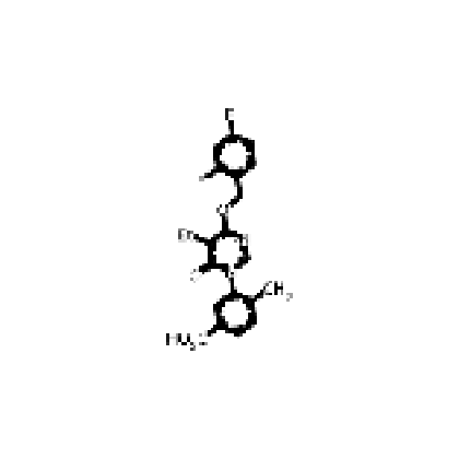 CCc1c(OCc2ccc(F)cc2F)ncn(-c2cc(C(=O)O)ccc2C)c1=O